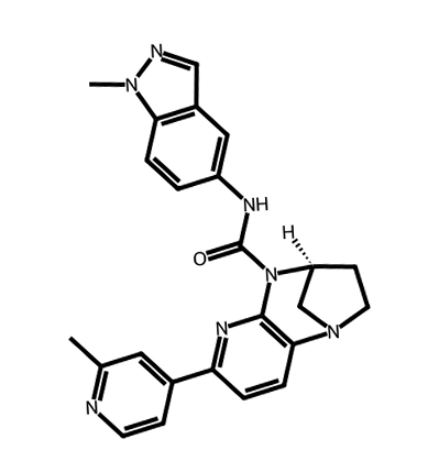 Cc1cc(-c2ccc3c(n2)N(C(=O)Nc2ccc4c(cnn4C)c2)[C@H]2CCN3C2)ccn1